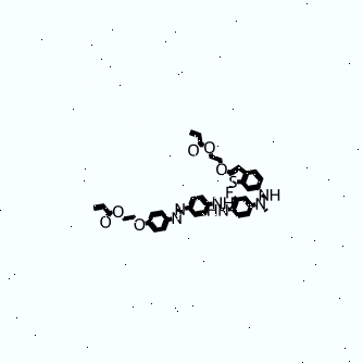 C=CC(=O)OCCOc1ccc(/N=N/c2ccc(NNc3ccc(N(C)Nc4ccc5cc(OCCOC(=O)C=C)sc5c4)cc3F)cc2)cc1